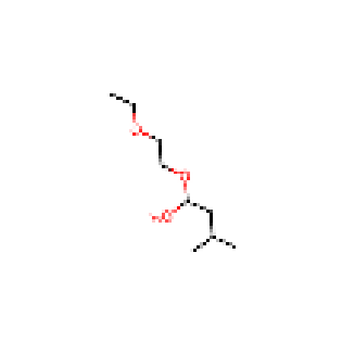 [CH2]COCCOC(O)CC(C)C